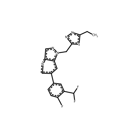 CCc1nnc(Cn2ncc3ncc(-c4ccc(F)c(C(F)F)c4)cc32)s1